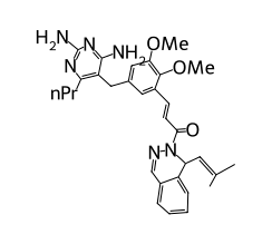 CCCc1nc(N)nc(N)c1Cc1cc(C=CC(=O)N2N=Cc3ccccc3C2C=C(C)C)c(OC)c(OC)c1